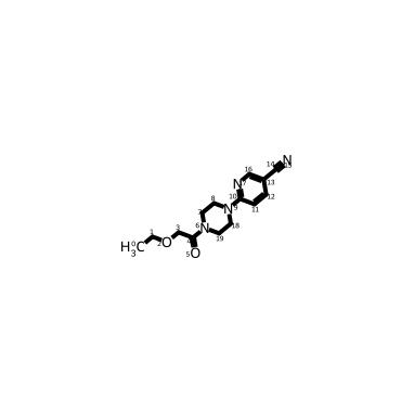 CCOCC(=O)N1CCN(c2ccc(C#N)cn2)CC1